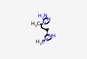 CC(CC1CC1[C@@H]1CN(C)CCN1)N1CCN=C(N)C1